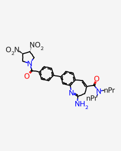 CCCN(CCC)C(=O)C1=Cc2ccc(-c3ccc(C(=O)N4C[C@@H]([N+](=O)[O-])[C@H]([N+](=O)[O-])C4)cc3)cc2N=C(N)C1